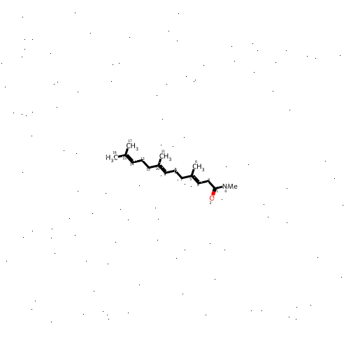 CNC(=O)C/C=C(\C)CC/C=C(\C)CCC=C(C)C